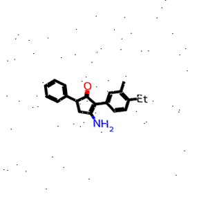 CCc1ccc(C2=C(N)CC(c3ccccc3)C2=O)cc1C